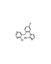 CC(C)c1nccn1-c1cc(F)ccc1Cc1cncnc1Cl